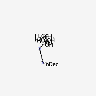 CCCCCCCCCCC/C=C\CCCCC/C=C\CCCC(O)(C[N+](C)(C)C)P(=O)(O)O